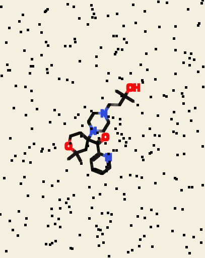 CC(C)(O)CCN1CCN(C2(C(=O)c3ccccn3)CCOC(C)(C)C2)CC1